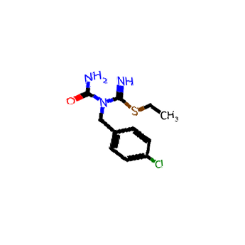 CCSC(=N)N(Cc1ccc(Cl)cc1)C(N)=O